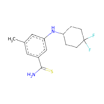 Cc1cc(NC2CCC(F)(F)CC2)cc(C(N)=S)c1